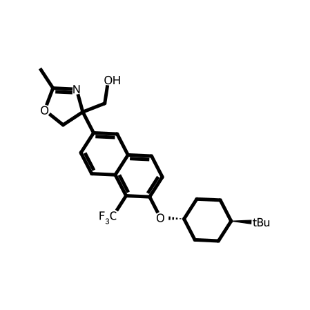 CC1=NC(CO)(c2ccc3c(C(F)(F)F)c(O[C@H]4CC[C@H](C(C)(C)C)CC4)ccc3c2)CO1